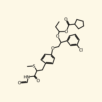 CCC(OC(=O)C1CCCC1)OC(COc1ccc(CC(SC)C(=O)NC=O)cc1)c1cccc(Cl)c1